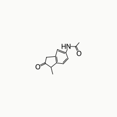 CC(=O)Nc1ccc2c(c1)CC(=O)C2C